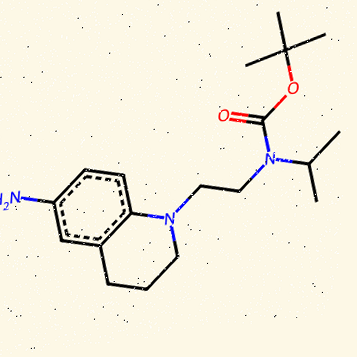 CC(C)N(CCN1CCCc2cc(N)ccc21)C(=O)OC(C)(C)C